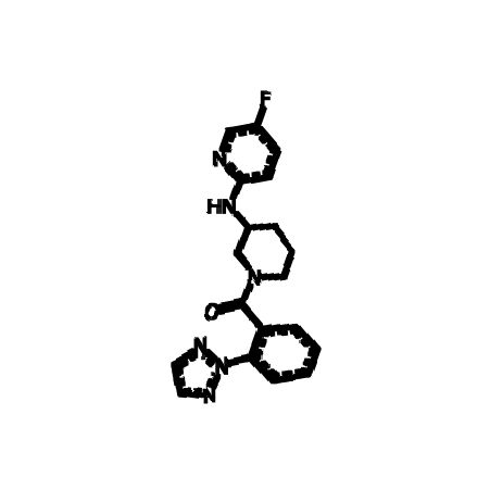 O=C(c1ccccc1-n1nccn1)N1CCCC(Nc2ccc(F)cn2)C1